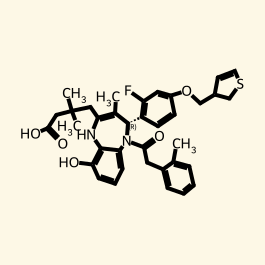 CC1=C(CC(C)(C)CC(=O)O)Nc2c(O)cccc2N(C(=O)Cc2ccccc2C)[C@H]1c1ccc(OCC2C=CSC2)cc1F